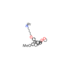 COc1ccc2c(c1)CC[C@@]1(C)[C@@H]3CC[C@H](OC4CCCCO4)[C@@]3(C)C[C@H](c3ccc(OCCCCCCCN(C)C(C)C)cc3)[C@H]21